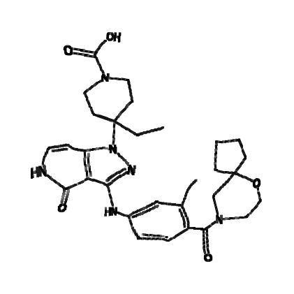 CCC1(n2nc(Nc3ccc(C(=O)N4CCOC5(CCCC5)C4)c(C)c3)c3c(=O)[nH]ccc32)CCN(C(=O)O)CC1